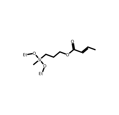 CC=CC(=O)OCCC[Si](C)(OCC)OCC